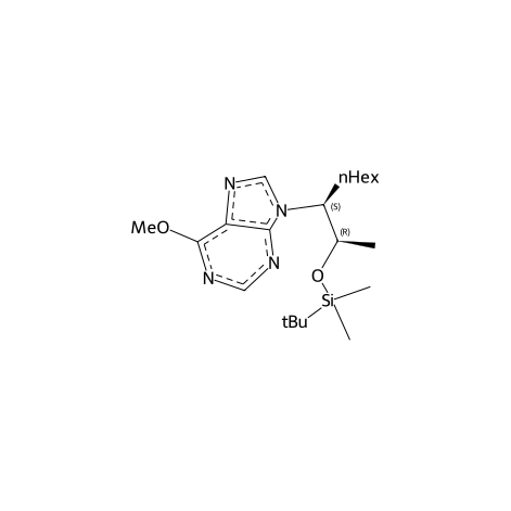 CCCCCC[C@@H]([C@@H](C)O[Si](C)(C)C(C)(C)C)n1cnc2c(OC)ncnc21